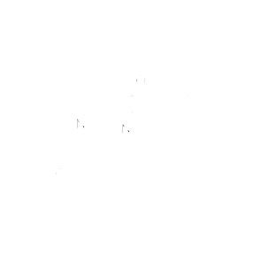 O=C1CC12c1cc(Cl)ccc1CN2c1cncc(CCl)c1